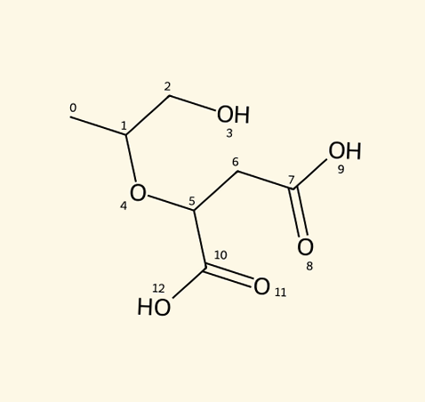 CC(CO)OC(CC(=O)O)C(=O)O